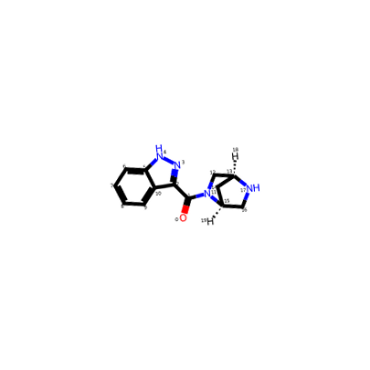 O=C(c1n[nH]c2ccccc12)N1C[C@@H]2C[C@H]1CN2